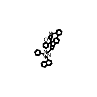 N#Cc1ccccc1-c1ccc2c(c1)C1(c3ccccc3Oc3ccccc31)c1cc(-c3nc(-c4ccccc4)nc(-c4cccc5ccccc45)n3)ccc1-2